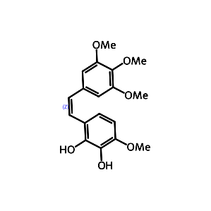 COc1ccc(/C=C\c2cc(OC)c(OC)c(OC)c2)c(O)c1O